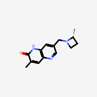 Cc1cc2ncc(CN3CC[C@H]3C)cc2[nH]c1=O